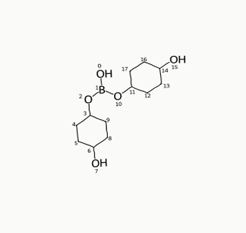 OB(OC1CCC(O)CC1)OC1CCC(O)CC1